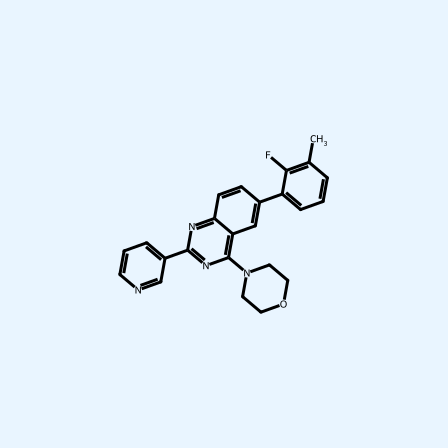 Cc1cccc(-c2ccc3nc(-c4cccnc4)nc(N4CCOCC4)c3c2)c1F